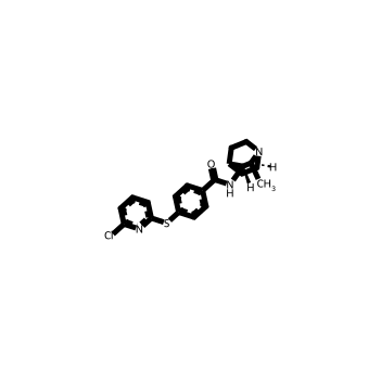 C[C@H]1[C@H](NC(=O)c2ccc(Sc3cccc(Cl)n3)cc2)C2CCN1CC2